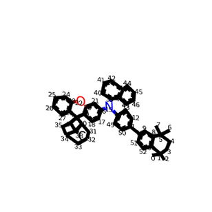 CC1(C)CCC(C)(C)c2cc(-c3ccc(N(c4ccc5c(c4)Oc4ccccc4C54C5CC6CC7CC4C75C6)c4cccc5ccccc45)cc3)ccc21